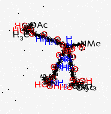 CNC(=O)CCCC(=O)NC(COCCC(=O)NCCCNC(=O)CCCCO[C@H](OC(COC(C)=O)[C@@H](C)O)[C@@H](C)CO)(COCCC(=O)NCCCNC(=O)CCCCO[C@@H]1OC(COC(C)=O)[C@H](O)C(O)[C@@H]1C)COCCC(=O)NCCCNC(=O)CCCCO[C@@H]1OC(COC(C)=O)[C@H](O)C(O)[C@@H]1N